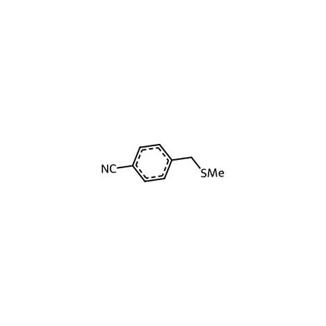 [CH2]SCc1ccc(C#N)cc1